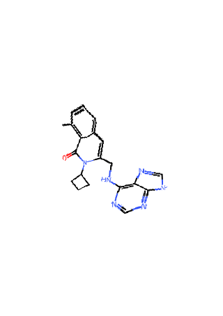 Cc1cccc2cc(CNc3ncnc4[nH]cnc34)n(C3CCC3)c(=O)c12